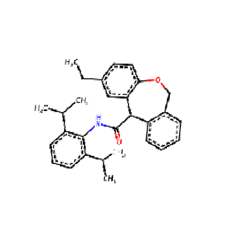 CCc1ccc2c(c1)C(C(=O)Nc1c(C(C)C)cccc1C(C)C)c1ccccc1CO2